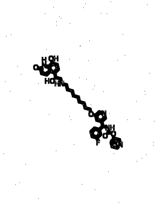 O=C(NC(c1cccc(F)c1)c1cncc(OCCCCCCCCCNCC(O)c2ccc(O)c3[nH]c(=O)ccc23)c1)OC1CN2CCC1CC2